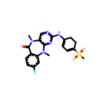 CN1C(=O)c2ccc(F)cc2N(C)c2nc(NC3=CC=C(S(C)(=O)=O)CC3)ncc21